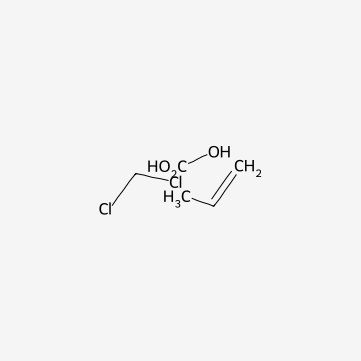 C=CC.ClCCl.O=C(O)O